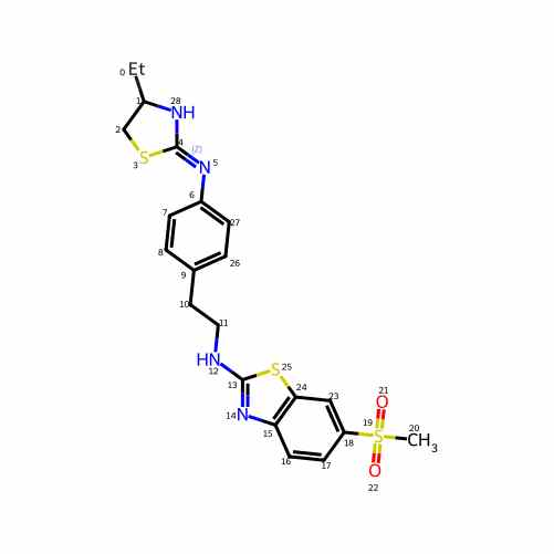 CCC1CS/C(=N\c2ccc(CCNc3nc4ccc(S(C)(=O)=O)cc4s3)cc2)N1